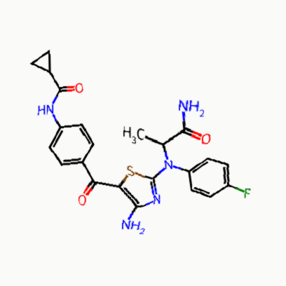 CC(C(N)=O)N(c1ccc(F)cc1)c1nc(N)c(C(=O)c2ccc(NC(=O)C3CC3)cc2)s1